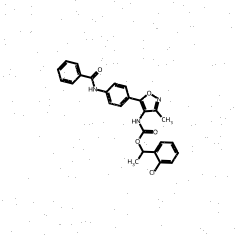 Cc1noc(-c2ccc(NC(=O)c3ccccc3)cc2)c1NC(=O)OC(C)c1ccccc1Cl